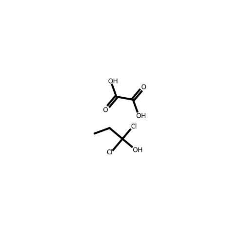 CCC(O)(Cl)Cl.O=C(O)C(=O)O